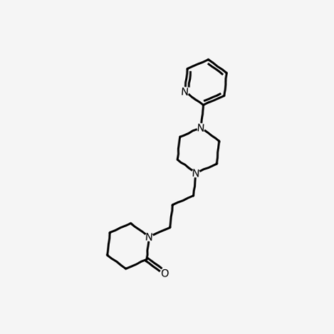 O=C1CCCCN1CCCN1CCN(c2ccccn2)CC1